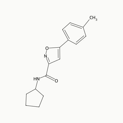 Cc1ccc(-c2cc(C(=O)NC3CCCC3)no2)cc1